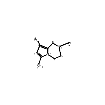 Cc1nc(C(C)C)c2n1CCN(C(C)C)C2